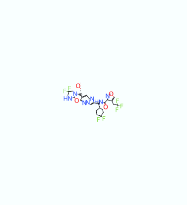 COC[C@H](c1cnn2cc([C@@H](NC(=O)c3nocc3CC(F)(F)F)C3CCC(F)(F)CC3)nc2c1)N1CC(F)(F)CNC1=O